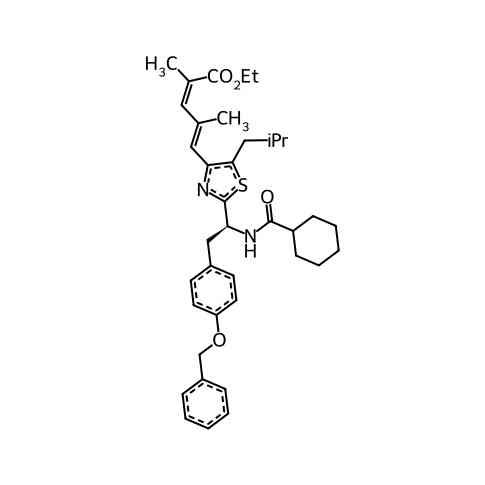 CCOC(=O)/C(C)=C\C(C)=C\c1nc([C@H](Cc2ccc(OCc3ccccc3)cc2)NC(=O)C2CCCCC2)sc1CC(C)C